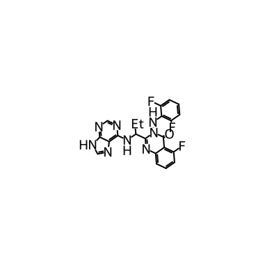 CCC(Nc1ncnc2[nH]cnc12)c1nc2cccc(F)c2c(=O)n1Nc1c(F)cccc1F